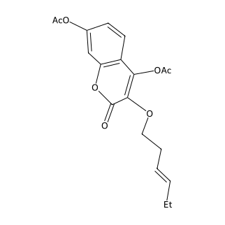 CCC=CCCOc1c(OC(C)=O)c2ccc(OC(C)=O)cc2oc1=O